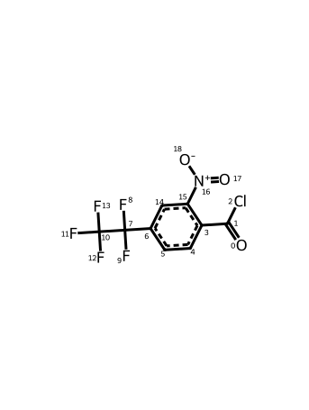 O=C(Cl)c1ccc(C(F)(F)C(F)(F)F)cc1[N+](=O)[O-]